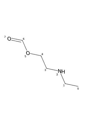 CCNCCOC=O